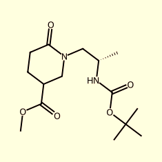 COC(=O)C1CCC(=O)N(C[C@H](C)NC(=O)OC(C)(C)C)C1